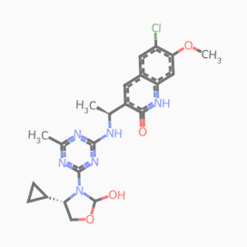 COc1cc2[nH]c(=O)c([C@H](C)Nc3nc(C)nc(N4C(O)OC[C@@H]4C4CC4)n3)cc2cc1Cl